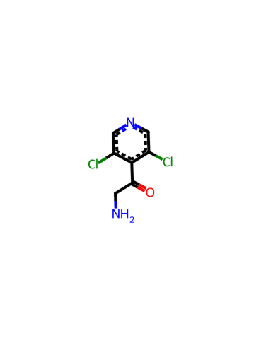 NCC(=O)c1c(Cl)cncc1Cl